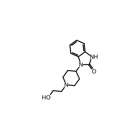 O=c1[nH]c2ccccc2n1C1CCN(C[CH]O)CC1